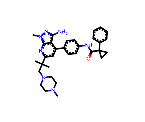 CN1CCN(CC(C)(C)c2cc(-c3ccc(NC(=O)C4(c5ccccc5)CC4)cc3)c3c(N)nn(C)c3n2)CC1